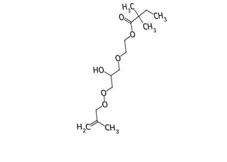 C=C(C)COOCC(O)COCCOC(=O)C(C)(C)CC